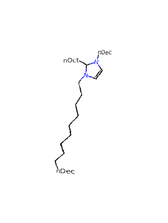 CCCCCCCCCCCCCCCCCCCN1C=CN(CCCCCCCCCC)C1CCCCCCCC